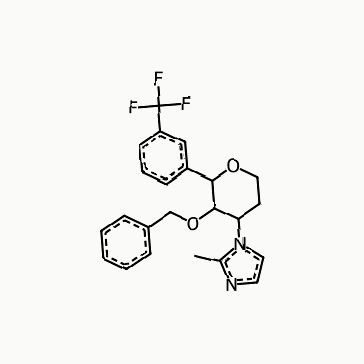 Cc1nccn1C1CCOC(c2cccc(C(F)(F)F)c2)C1OCc1ccccc1